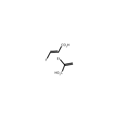 C=C(CC)C(=O)O.O=C(O)C=CF